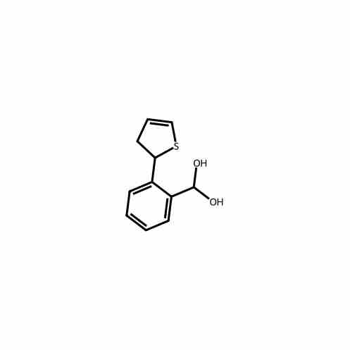 OC(O)c1ccccc1C1CC=CS1